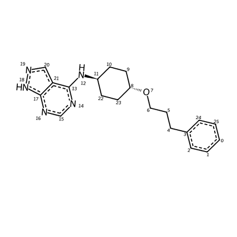 c1ccc(CCCO[C@H]2CC[C@H](Nc3ncnc4[nH]ncc34)CC2)cc1